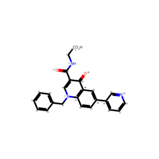 O=C(O)CNC(=O)c1cn(Cc2ccccc2)c2ccc(-c3cccnc3)cc2c1=O